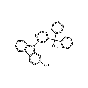 CC(c1ccccc1)(c1ccccc1)c1ccnc(-n2c3ccccc3c3ccc(O)cc32)c1